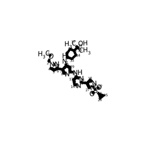 COCn1ccc(-c2cnc(Nc3ccnc(-c4cnn(S(=O)(=O)C5CC5)c4)n3)cc2NC2CCC(C(C)(C)O)CC2)n1